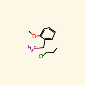 CCCCl.COc1ccccc1CP